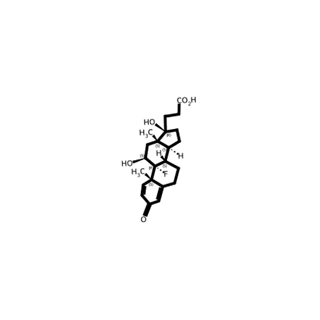 C[C@]12C=CC(=O)C=C1CC[C@H]1[C@@H]3CC[C@@](O)(CCC(=O)O)[C@@]3(C)C[C@H](O)[C@@]12F